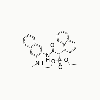 CCOP(=O)(OCC)C(C(=O)Nc1cc2ccccc2cc1NC)c1cccc2ccccc12